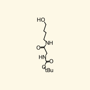 CC(C)(C)OC(=O)NCC(=O)NCCCCO